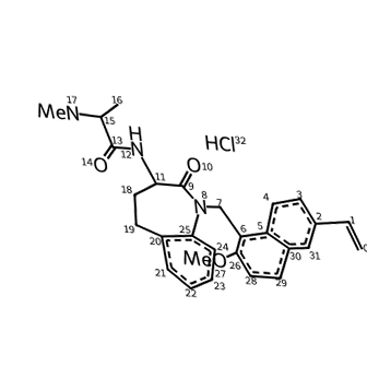 C=Cc1ccc2c(CN3C(=O)C(NC(=O)C(C)NC)CCc4ccccc43)c(OC)ccc2c1.Cl